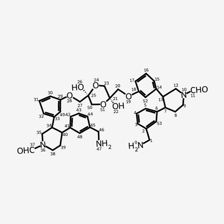 NCc1cccc(C2CCN(C=O)CC2c2cccc(OC[C@]3(O)CO[C@](O)(COc4cccc(C5CN(C=O)CCC5c5cccc(CN)c5)c4)CO3)c2)c1